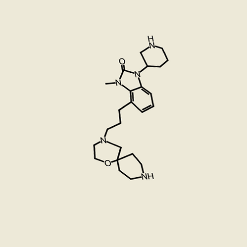 Cn1c(=O)n(C2CCCNC2)c2cccc(CCCN3CCOC4(CCNCC4)C3)c21